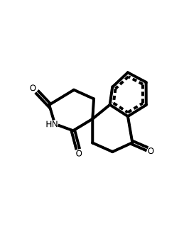 O=C1CCC2(CCC(=O)c3ccccc32)C(=O)N1